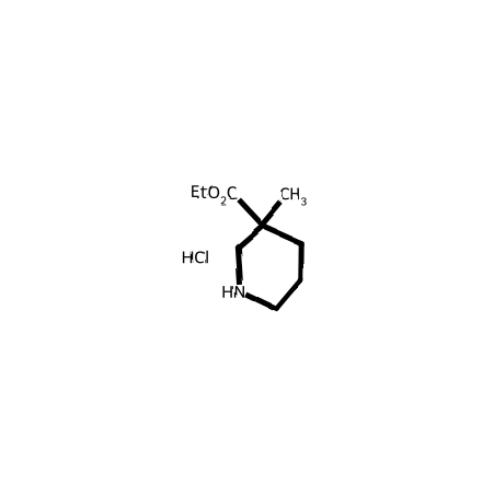 CCOC(=O)C1(C)CCCNC1.Cl